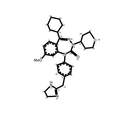 COc1ccc2c(c1)N(c1ccc(CC3=NCCN3)cc1)C(=O)N(C1CCOCC1)N=C2C1CCCCC1